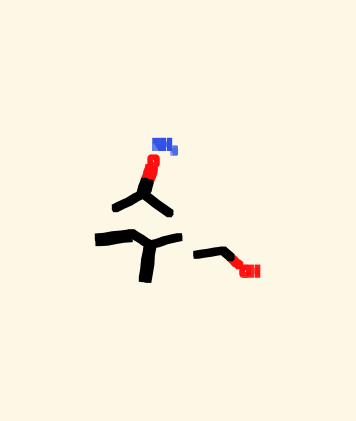 C=CC(=C)C.CC(C)=O.CCO.N